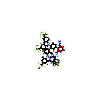 N#Cc1ccccc1-c1ccc(-n2c3ccc(C(F)(F)F)cc3c3cc(C(F)(F)F)ccc32)c(-c2cccc(-n3c4ccc(C(F)(F)F)cc4c4cc(C(F)(F)F)ccc43)c2-c2nc(-c3ccccc3)nc(-c3ccccc3)n2)c1